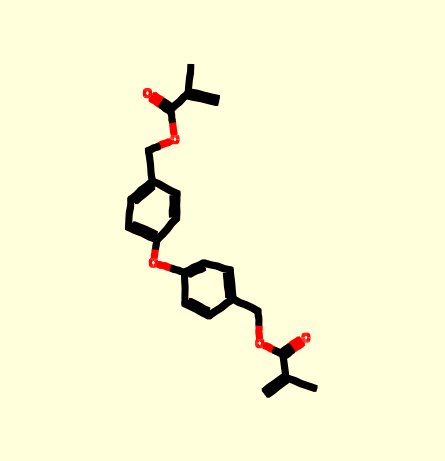 C=C(C)C(=O)OCc1ccc(Oc2ccc(COC(=O)C(=C)C)cc2)cc1